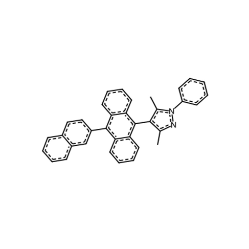 Cc1nn(-c2ccccc2)c(C)c1-c1c2ccccc2c(-c2ccc3ccccc3c2)c2ccccc12